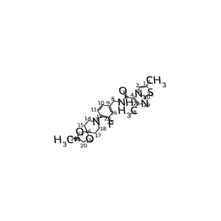 Cc1cn2c(C(=O)NCc3ccc(N4CCC5(CC4)OC[C@@H](C)O5)c(F)c3)c(C)nc2s1